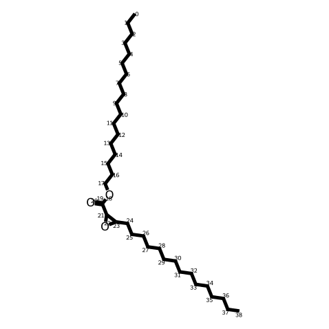 CCCCCCCCCCCCCCCCCCOC(=O)C1OC1CCCCCCCCCCCCCCC